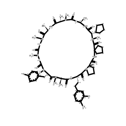 CC[C@H](C)[C@@H]1NC(=O)[C@H](C)N(C)C(=O)C[C@@H](C)NC(=O)[C@H](C2CCCC2)N(C)C(=O)C2(CCCC2)NC(=O)[C@@H]2CCCN2C(=O)[C@H](CCc2ccc(C(F)(F)F)c(Cl)c2)NC(=O)[C@@H](C)N(C)C(=O)[C@H](Cc2ccc(F)cc2)N(C)C(=O)CN(C)C(=O)CN(C)C1=O